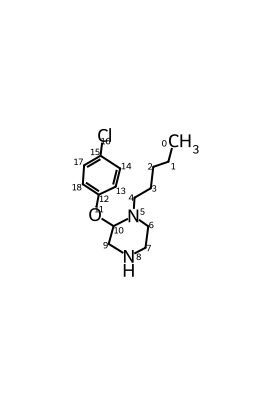 CCCCCN1CCNCC1Oc1ccc(Cl)cc1